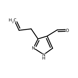 C=CCc1n[nH]cc1C=O